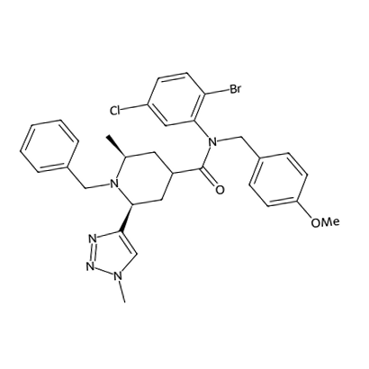 COc1ccc(CN(C(=O)C2C[C@H](C)N(Cc3ccccc3)[C@H](c3cn(C)nn3)C2)c2cc(Cl)ccc2Br)cc1